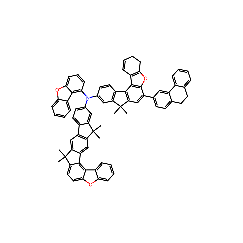 CC1(C)c2cc(N(c3ccc4c(c3)C(C)(C)c3cc(-c5ccc6c(c5)-c5ccccc5CC6)c5oc6c(c5c3-4)C=CCC6)c3cccc4oc5ccccc5c34)ccc2-c2cc3c(cc21)-c1c(ccc2oc4ccccc4c12)C3(C)C